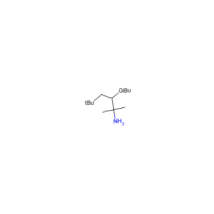 CC(C)COC(CC(C)(C)C)C(C)(C)N